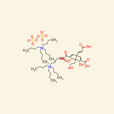 CCCC[N+](CCCC)(CCCC)CCCC.CCCC[N+](CCCC)(CCCC)CCCC.O=C(O)C=CC(C=CC(=O)O)(C=CC(=O)O)C(CO)(CO)CCO.O=S(=O)([O-])OOS(=O)(=O)[O-]